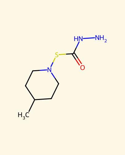 CC1CCN(SC(=O)NN)CC1